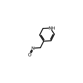 O=NCC1=CCNC=C1